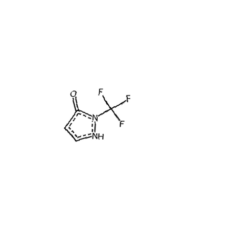 O=c1cc[nH]n1C(F)(F)F